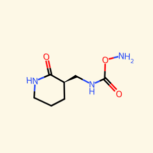 NOC(=O)NC[C@H]1CCCNC1=O